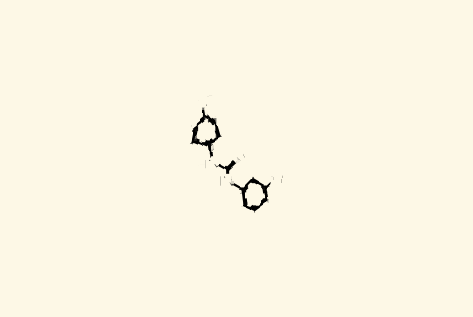 Cc1cccc(NC(=O)Nc2ccc(C(F)(F)F)cc2)c1